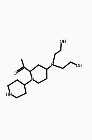 CC(=O)C1CC(N(CCO)CCO)CCN1C1CCNCC1